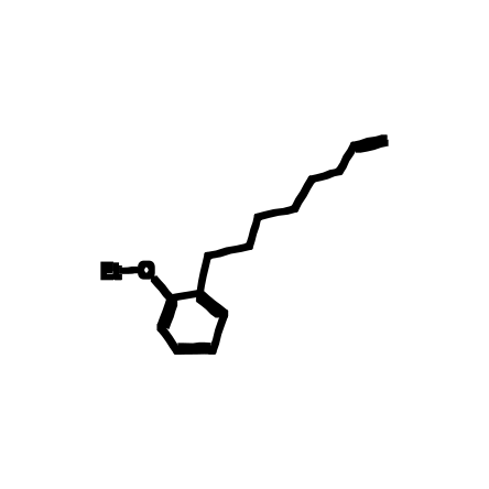 C=CCCCCCCc1ccccc1OCC